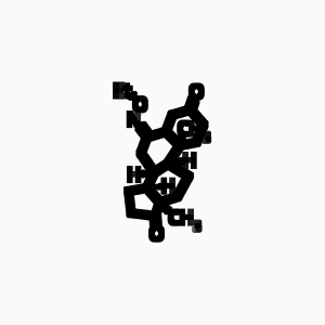 CCO/N=C1/C[C@@H]2[C@@H](CC[C@]3(C)C(=O)CC[C@@H]23)[C@@]2(C)CCC(=O)CC12